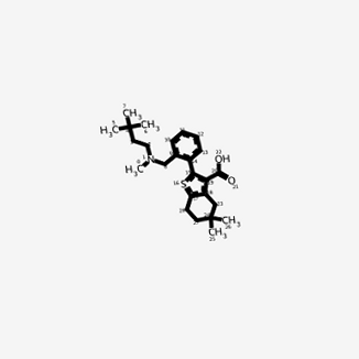 CN(CCC(C)(C)C)Cc1ccccc1-c1sc2c(c1C(=O)O)CC(C)(C)CC2